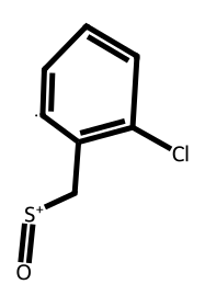 O=[S+]Cc1[c]cccc1Cl